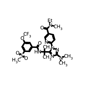 CCN(C)C(=O)c1ccc(-n2nc(N(C)C)nc2C(C)(C)NC(=O)c2cc(OC(F)(F)F)cc(S(C)(=O)=O)c2)nc1